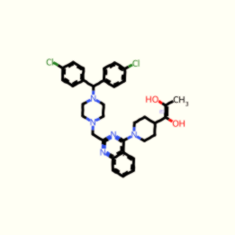 C/C(O)=C(\O)C1CCN(c2nc(CN3CCN(C(c4ccc(Cl)cc4)c4ccc(Cl)cc4)CC3)nc3ccccc23)CC1